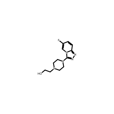 OCCN1CCN(c2nnc3ccc(F)cn23)CC1